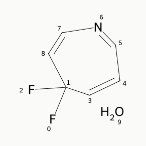 FC1(F)C=CC=NC=C1.O